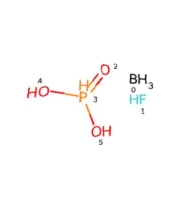 B.F.O=[PH](O)O